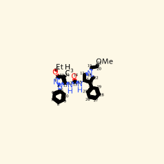 CCOc1nn(-c2ccccc2)c(NC(=O)N[C@@H]2CN(CCOC)CC2c2ccccc2)c1C